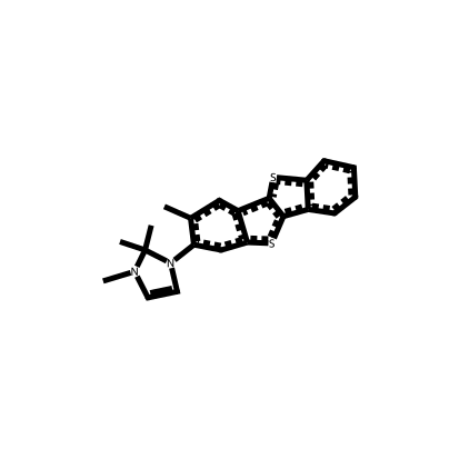 Cc1cc2c(cc1N1C=CN(C)C1(C)C)sc1c3ccccc3sc21